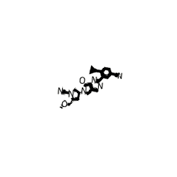 COC[C@@H]1C[C@@H](N2Cc3cnc(-c4cc(C#N)ccc4C4CC4)nc3C2=O)CN1C#N